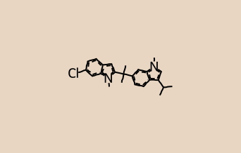 CC(C)c1cn(C)c2cc(C(C)(C)c3cc4ccc(Cl)cc4n3C)ccc12